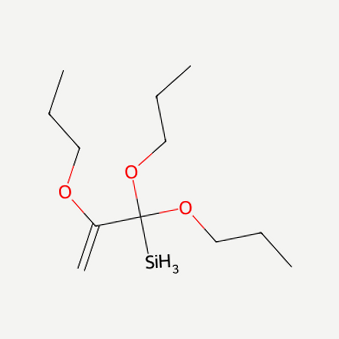 C=C(OCCC)C([SiH3])(OCCC)OCCC